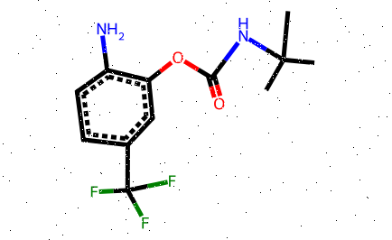 CC(C)(C)NC(=O)Oc1cc(C(F)(F)F)ccc1N